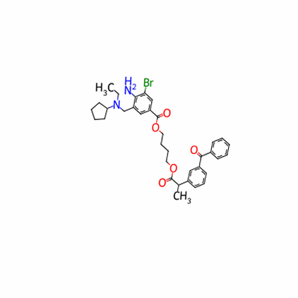 CCN(Cc1cc(C(=O)OCCCCOC(=O)C(C)c2cccc(C(=O)c3ccccc3)c2)cc(Br)c1N)C1CCCC1